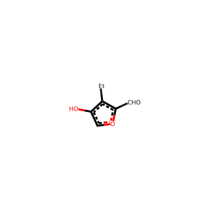 CCc1c(O)coc1C=O